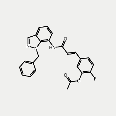 CC(=O)Oc1cc(C=CC(=O)Nc2cccc3cnn(Cc4ccccc4)c23)ccc1F